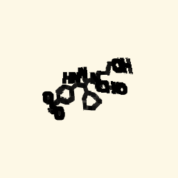 CS(=O)(=O)c1ccc(-c2[nH]nc(N(C=O)CCCO)c2C2CCCCC2)cc1